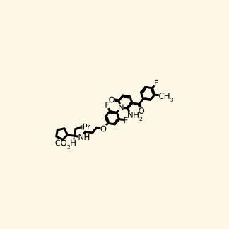 Cc1cc(C(=O)c2ccc(=O)n(-c3c(F)cc(OCCCN[C@](CC(C)C)(C(=O)O)C4CCCC4)cc3F)c2N)ccc1F